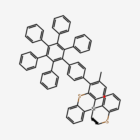 Cc1ccc2c(c1-c1ccc(-c3c(-c4ccccc4)c(-c4ccccc4)c(-c4ccccc4)c(-c4ccccc4)c3-c3ccccc3)cc1)Sc1ccccc1[Si]21c2ccccc2Sc2ccccc21